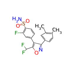 Cc1ccc(-c2noc(C(F)F)c2-c2ccc(S(N)(=O)=O)c(F)c2)cc1C